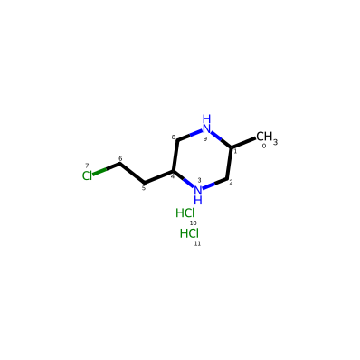 CC1CNC(CCCl)CN1.Cl.Cl